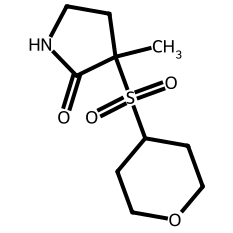 CC1(S(=O)(=O)C2CCOCC2)CCNC1=O